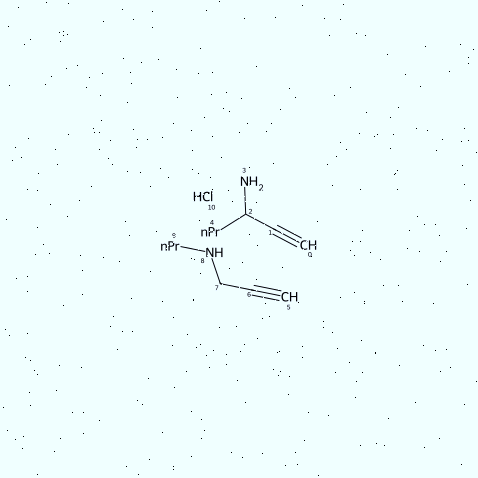 C#CC(N)CCC.C#CCNCCC.Cl